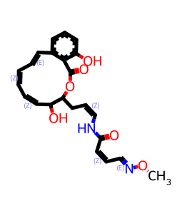 CO/N=C/C=C\C(=O)N/C=C\CC1OC(=O)c2c(O)cccc2/C=C/C=C\C=C/C1O